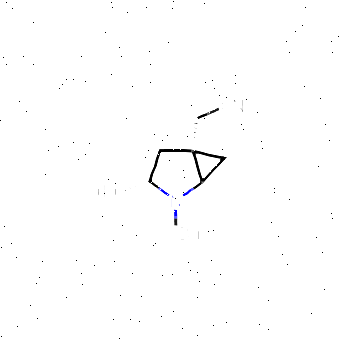 CC(C)(C)[C@@H]1C[C@@]2(CC#N)CC2N1C(C)(C)C